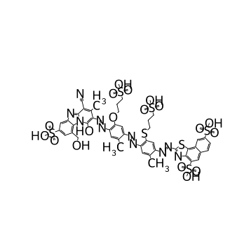 Cc1cc(N=Nc2cc(OCCCS(=O)(=O)O)c(N=Nc3c(C)c(C#N)c4nc5cc(S(=O)(=O)O)cc(CO)c5n4c3O)cc2C)c(SCCCS(=O)(=O)O)cc1N=Nc1nc2c(S(=O)(=O)O)cc3ccc(S(=O)(=O)O)cc3c2s1